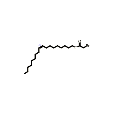 CCCCCCCC/C=C\CCCCCCCCOC(=O)CBr